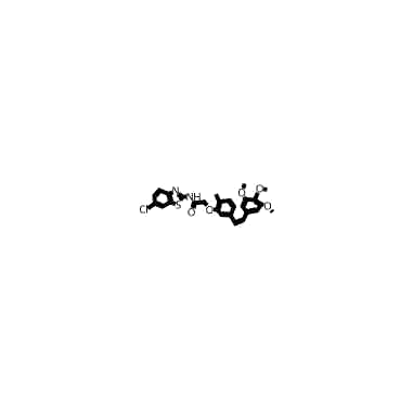 COc1cc(/C=C\c2ccc(C)c(OCC(=O)Nc3nc4ccc(Cl)cc4s3)c2)cc(OC)c1OC